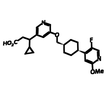 COc1cc([C@H]2CC[C@@H](COc3cncc(C(CC(=O)O)C4CC4)c3)CC2)c(F)cn1